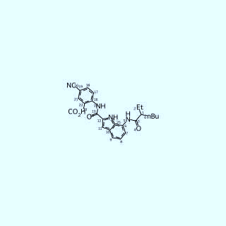 CCCCC(CC)C(=O)Nc1cccc2cc(C(=O)Nc3ccc(C#N)cc3C(=O)O)[nH]c12